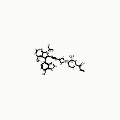 C=CC(=O)N1CC[C@H](N2CC(C#Cc3c(-c4ccc(F)c5c4OCO5)c4c(N)ncnc4n3C(C)C)C2)[C@H](O)C1